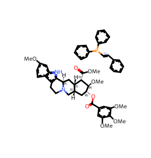 C(=C\P(c1ccccc1)c1ccccc1)/c1ccccc1.COC(=O)[C@H]1[C@H]2C[C@@H]3c4[nH]c5cc(OC)ccc5c4CCN3C[C@H]2C[C@@H](OC(=O)c2cc(OC)c(OC)c(OC)c2)[C@@H]1OC